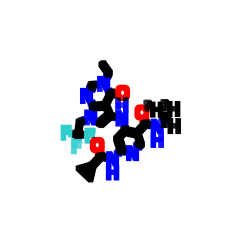 [2H]C([2H])([2H])NC(=O)c1cnc(NC(=O)C2CC2)cc1Nc1cn(CC(F)(F)F)c2ncn(CC)c(=O)c12